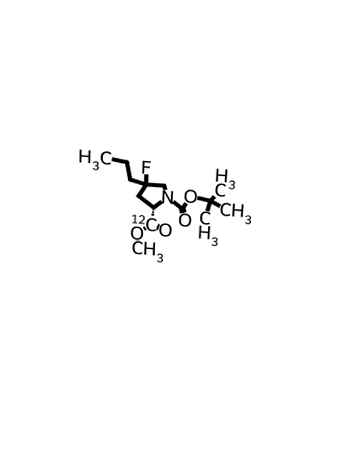 CCCC1(F)C[C@@H]([12C](=O)OC)N(C(=O)OC(C)(C)C)C1